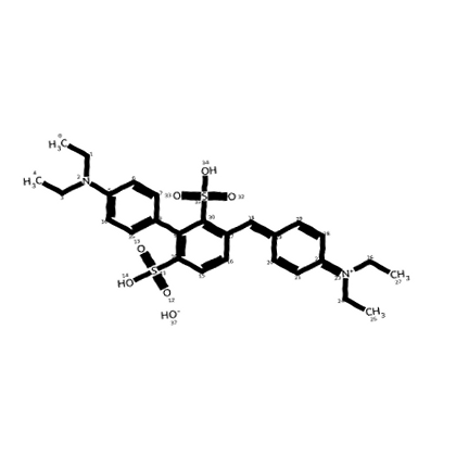 CCN(CC)c1ccc(-c2c(S(=O)(=O)O)ccc(C=C3C=CC(=[N+](CC)CC)C=C3)c2S(=O)(=O)O)cc1.[OH-]